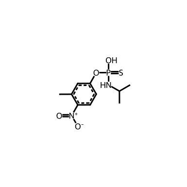 Cc1cc(OP(O)(=S)NC(C)C)ccc1[N+](=O)[O-]